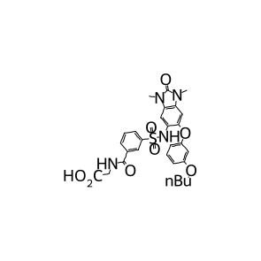 CCCCOc1cccc(Oc2cc3c(cc2NS(=O)(=O)c2cccc(C(=O)NCC(=O)O)c2)n(C)c(=O)n3C)c1